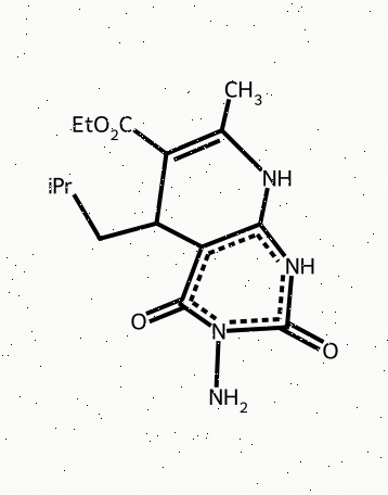 CCOC(=O)C1=C(C)Nc2[nH]c(=O)n(N)c(=O)c2C1CC(C)C